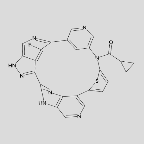 O=C(C1CC1)n1c2cncc(c2)c2ncc3[nH]nc(c4nc5c(cncc5c5ccc1s5)[nH]4)c3c2F